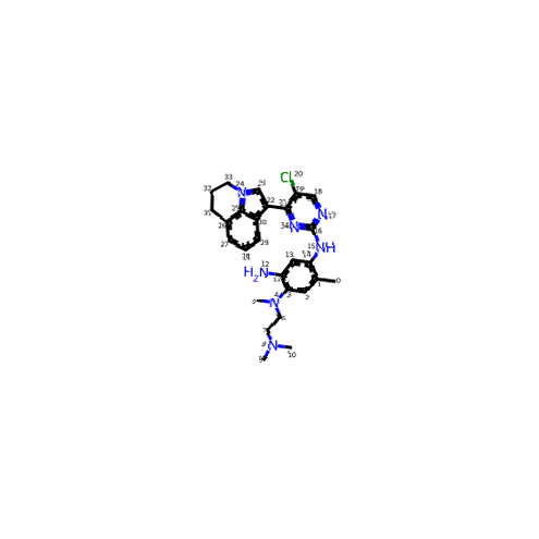 Cc1cc(N(C)CCN(C)C)c(N)cc1Nc1ncc(Cl)c(-c2cn3c4c(cccc24)CCC3)n1